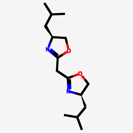 CC(C)C[C@H]1COC(CC2=N[C@@H](CC(C)C)CO2)=N1